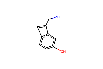 NCC1=Cc2ccc(O)cc21